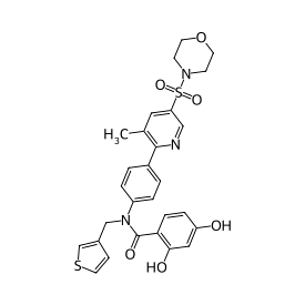 Cc1cc(S(=O)(=O)N2CCOCC2)cnc1-c1ccc(N(Cc2ccsc2)C(=O)c2ccc(O)cc2O)cc1